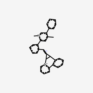 Cc1cc(-c2ccccc2/C=C2/C3c4ccccc4-c4cccc[n+]4C23)[n+](C)cc1-c1ccccc1